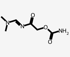 CN(C)C=NC(=O)COC(N)=O